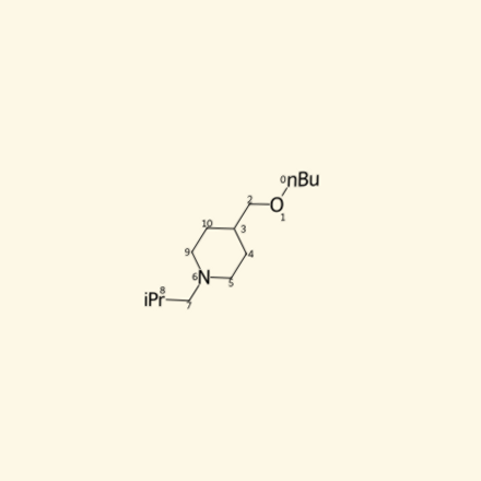 CCCCOCC1CCN(CC(C)C)CC1